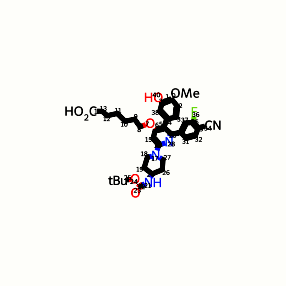 COc1ccc(-c2c(OCCCCCCC(=O)O)cc(N3CCC(NC(=O)OC(C)(C)C)CC3)nc2-c2ccc(C#N)c(F)c2)cc1O